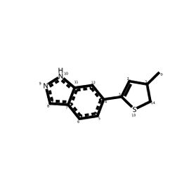 CC1C=C(c2ccc3cn[nH]c3c2)SC1